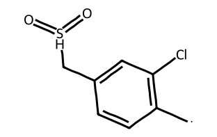 [CH2]c1ccc(C[SH](=O)=O)cc1Cl